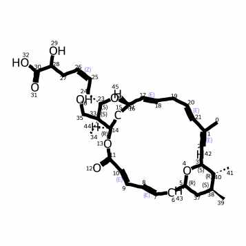 CC1=C\[C@H]2O[C@@H](C/C=C/C=C/C(=O)O[C@@H]3C[C@@H](/C=C/C\C=C\1)O[C@@H](C/C=C\CC(O)C(=O)O)[C@]3(C)CO)C[C@H](C)[C@H]2C